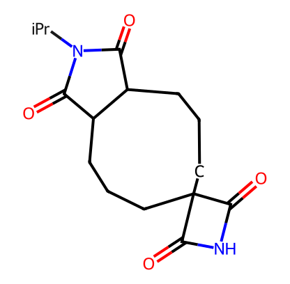 CC(C)N1C(=O)C2CCCC3(CCCC2C1=O)C(=O)NC3=O